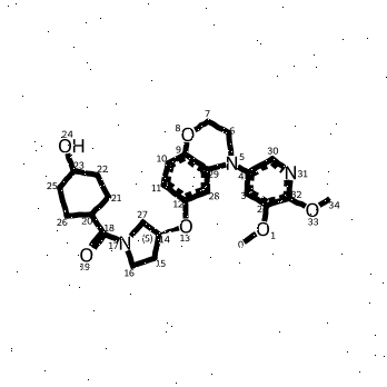 COc1cc(N2CCOc3ccc(O[C@H]4CCN(C(=O)C5CCC(O)CC5)C4)cc32)cnc1OC